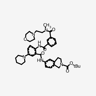 CN(CCN1CCOCC1)C(=O)c1cccc(C(=O)Nc2ccc(N3CCCCC3)cc2C(=O)Nc2ccc3c(c2)CCN(C(=O)OC(C)(C)C)C3)c1